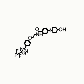 O=C(NCCOc1ccc(-c2noc(C(F)(F)F)n2)cc1)c1ccc(N2CCC(O)CC2)cc1